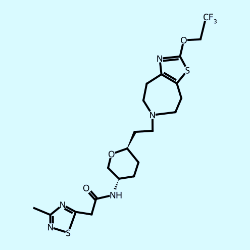 Cc1nsc(CC(=O)N[C@H]2CC[C@H](CCN3CCc4nc(OCC(F)(F)F)sc4CC3)OC2)n1